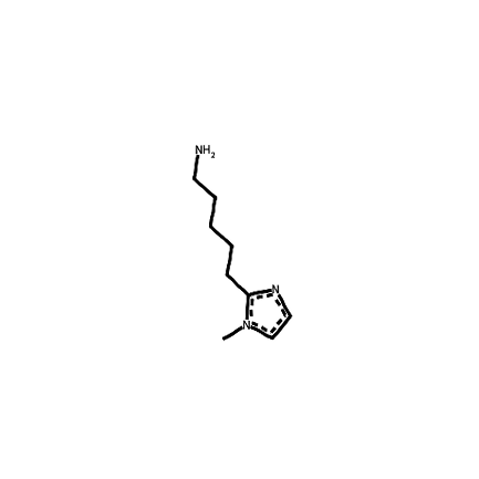 Cn1ccnc1CCCCCN